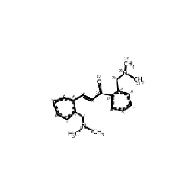 CN(C)Cc1ccccc1C=CC(=O)c1ccccc1CN(C)C